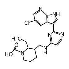 CCC1C(CNc2ccnc(-c3c[nH]c4ncc(Cl)cc34)n2)CCCN1C(=O)O